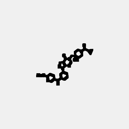 COc1ccc(Nc2cccc(-n3ncc4c(=O)n(CC5(O)CCN(C(=O)C6CC6)CC5)cnc43)c2)cn1